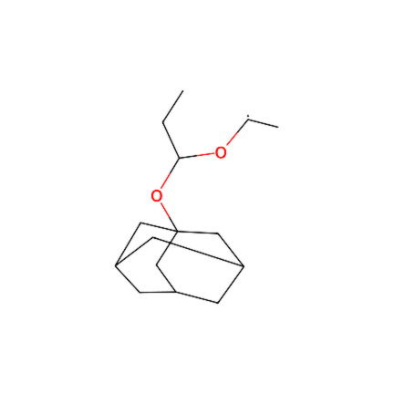 C[CH]OC(CC)OC12CC3CC(CC(C3)C1)C2